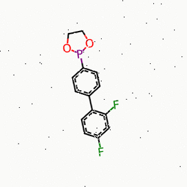 Fc1ccc(-c2ccc(P3OCCO3)cc2)c(F)c1